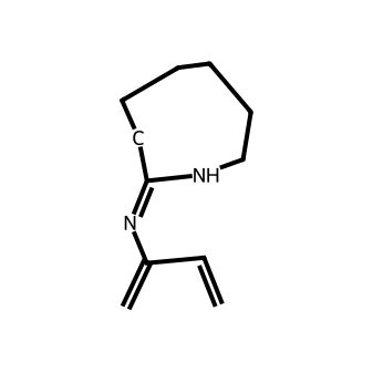 C=CC(=C)/N=C1/CCCCCCN1